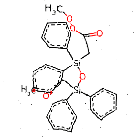 COOC(=O)C[Si](O[Si](CC(C)=O)(c1ccccc1)c1ccccc1)(c1ccccc1)c1ccccc1